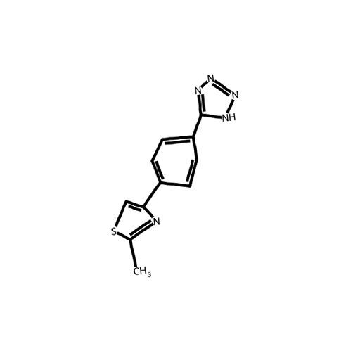 Cc1nc(-c2ccc(-c3nnn[nH]3)cc2)cs1